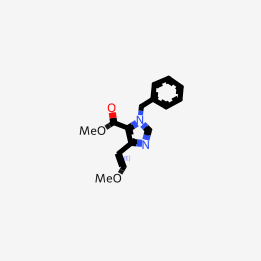 CO/C=C/c1ncn(Cc2ccccc2)c1C(=O)OC